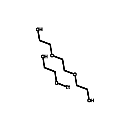 CCOCCO.OCCOCCOCCO